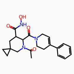 CC(=O)N1CC2(CC2)CC(C(=O)NO)C1C(=O)N1CC=C(c2ccccc2)CC1